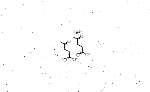 CC(=O)CCC(=O)[O-].CC(=O)CCC(=O)[O-].[Fe+2]